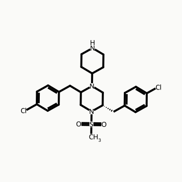 CS(=O)(=O)N1CC(Cc2ccc(Cl)cc2)N(C2CCNCC2)C[C@@H]1Cc1ccc(Cl)cc1